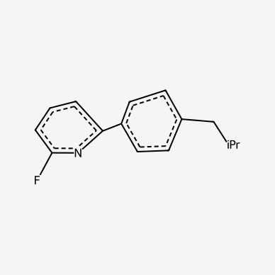 CC(C)Cc1ccc(-c2cccc(F)n2)cc1